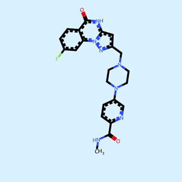 CNC(=O)c1ccc(N2CCN(Cc3cc4[nH]c(=O)c5ccc(F)cc5n4n3)CC2)cn1